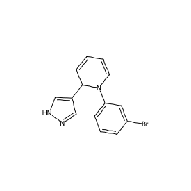 Brc1cccc(N2C=CC=CC2c2cn[nH]c2)c1